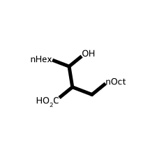 CCCCCCCCCC(C(=O)O)C(O)CCCCCC